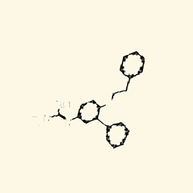 NC(N)=Nc1ccc(OCCc2ccccc2)c(-c2ccccc2)c1